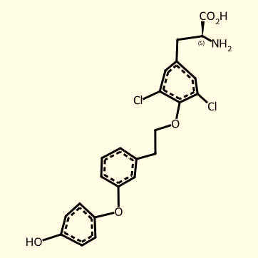 N[C@@H](Cc1cc(Cl)c(OCCc2cccc(Oc3ccc(O)cc3)c2)c(Cl)c1)C(=O)O